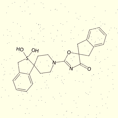 O=C1N=C(N2CCC3(CC2)c2ccccc2CS3(O)O)OC12Cc1ccccc1C2